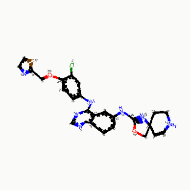 Clc1cc(Nc2ncnc3ccc(NC4=NC5(CCNCC5)CO4)cc23)ccc1OCc1nccs1